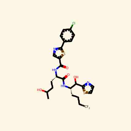 CC(O)CC[C@H](NC(=O)c1cnc(-c2ccc(Cl)cc2)s1)C(=O)N[C@@H](CCCC(F)(F)F)C(O)c1nccs1